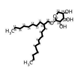 CCCCCCCCCCC(CCCCCCCC)CO[C@H]1OC[C@@H](O)[C@H](O)[C@@H]1O